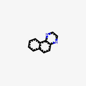 [c]1cc2nccnc2c2ccccc12